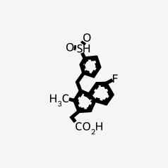 Cc1c(CC(=O)O)cc2ccc(F)cc2c1Cc1cccc([SH](=O)=O)c1